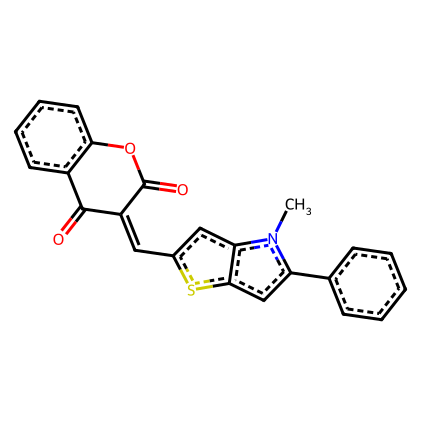 Cn1c(-c2ccccc2)cc2sc(/C=C3\C(=O)Oc4ccccc4C3=O)cc21